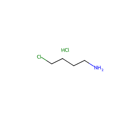 Cl.NCCCCCl